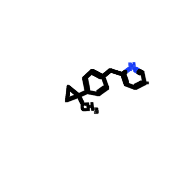 CC1(c2ccc(Cc3cc[c]cn3)cc2)CC1